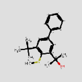 CSc1c(C(C)(C)C)cc(-c2ccccc2)cc1C(C)(C)O